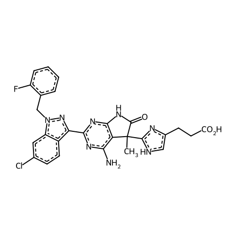 CC1(c2nc(CCC(=O)O)c[nH]2)C(=O)Nc2nc(-c3nn(Cc4ccccc4F)c4cc(Cl)ccc34)nc(N)c21